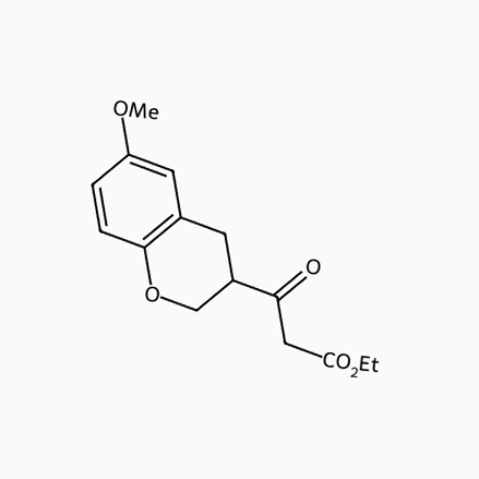 CCOC(=O)CC(=O)C1COc2ccc(OC)cc2C1